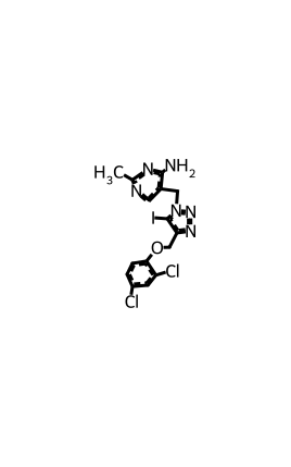 Cc1ncc(Cn2nnc(COc3ccc(Cl)cc3Cl)c2I)c(N)n1